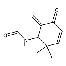 C=C1C(=O)C=CC(C)(C)C1NC=O